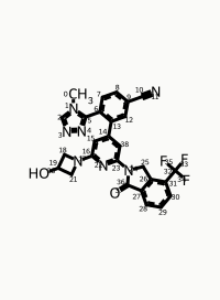 Cn1cnnc1-c1ccc(C#N)cc1-c1cc(N2CC(O)C2)nc(N2Cc3c(cccc3C(F)(F)F)C2=O)c1